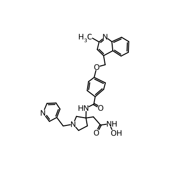 Cc1cc(COc2ccc(C(=O)NC3(CC(=O)NO)CCN(Cc4cccnc4)C3)cc2)c2ccccc2n1